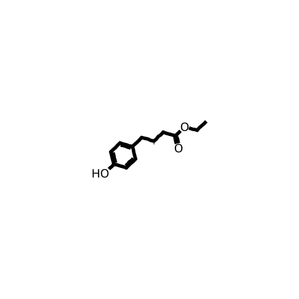 CCOC(=O)C[CH]Cc1ccc(O)cc1